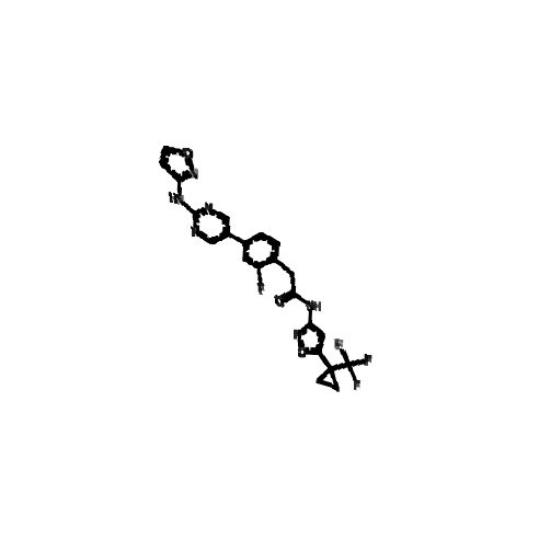 O=C(Cc1ccc(-c2cnc(Nc3ccon3)nc2)cc1F)Nc1cc(C2(C(F)(F)F)CC2)on1